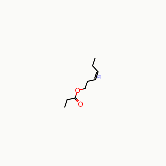 CC/C=C\CCOC(=O)CC